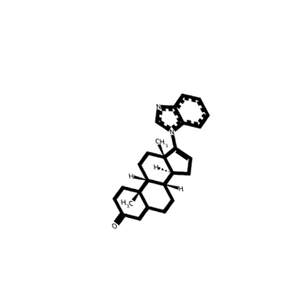 C[C@]12CCC(=O)CC1CC[C@@H]1[C@H]2CC[C@]2(C)C(n3cnc4ccccc43)=CC[C@@H]12